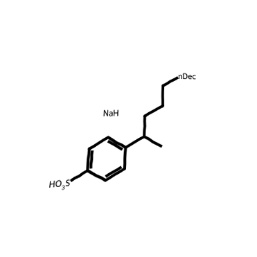 CCCCCCCCCCCCCC(C)c1ccc(S(=O)(=O)O)cc1.[NaH]